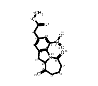 COC(=O)Cc1cc2c(c([N+](=O)[O-])c1)N1C(=O)CCCC(=O)C1C2